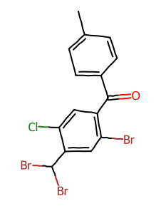 Cc1ccc(C(=O)c2cc(Cl)c(C(Br)Br)cc2Br)cc1